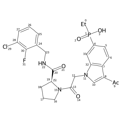 CCP(=O)(O)c1ccc2c(C(C)=O)cn(CC(=O)N3CCC[C@H]3C(=O)NCc3cccc(Cl)c3F)c2c1